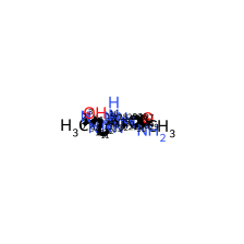 C/C(=N/O)c1ccc2c(n1)CCCN2c1n[nH]c2nc(N3CCC4(CC3)CO[C@@H](C)[C@H]4N)cnc12